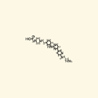 CNCCCN(C)c1ccc(-c2ccnc(Nc3cccc(CCN4CCN(CC(=O)O)CC4)c3)n2)cn1